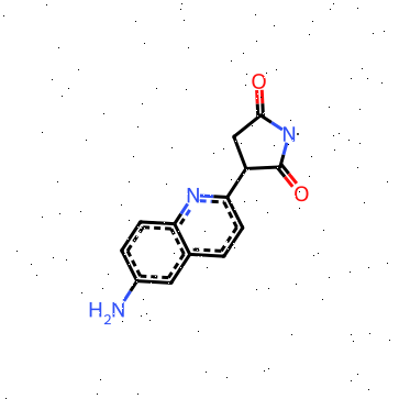 Nc1ccc2nc(C3CC(=O)[N]C3=O)ccc2c1